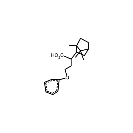 CC1(C)C2CCC1(C)C(C(CCOc1ccccc1)C(=O)O)C2